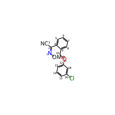 CO/N=C(/C#N)c1ccccc1COc1cccc(Cl)c1